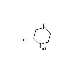 C1CNCCN1.Cl.Cl